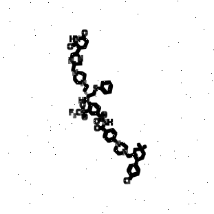 CC1(C)CCC(c2ccc(Cl)cc2)=C(CN2CCN(c3ccc(C(=O)NS(=O)(=O)c4ccc(N[C@H](CCN5CCN(Cc6cnc(C7CCC(=O)NC7=O)cn6)CC5)CSc5ccccc5)c(S(=O)(=O)C(F)(F)F)c4)cc3)CC2)C1